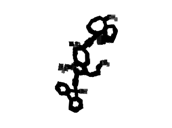 C=C1/C=C\CC[C@](O)(C#CC2(C)C=Cc3c(/C=C\CC)c(C#CC4(O)c5ccccc5-c5ccccc54)n(C)c3C=C2)c2ccccc21